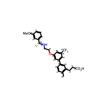 COc1cccc([C@@H](C)NCCOc2cc(-c3ccc(C)c(CCC(=O)O)c3)cc(C(F)(F)F)c2)c1